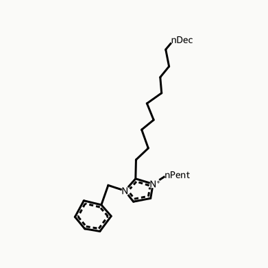 CCCCCCCCCCCCCCCCCCCc1n(Cc2ccccc2)cc[n+]1CCCCC